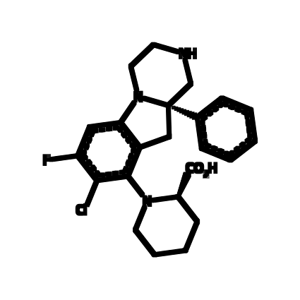 O=C(O)[C@H]1CCCCN1c1c(Cl)c(F)cc2c1C[C@]1(c3ccccc3)CNCCN21